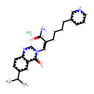 CC(C)c1ccc2ncn(C=C(CCCCc3cccnc3)C(N)=O)c(=O)c2c1.Cl